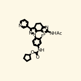 CC(=O)Nc1nc2c(s1)-c1c(c(-c3cccnc3)nn1-c1ccc(NC(=O)OC3CCCC3)cc1F)CC2